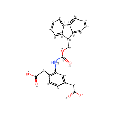 O=C(O)Cc1ccc(CC(=O)O)c(NC(=O)OCC2c3ccccc3-c3ccccc32)c1